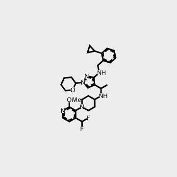 COc1nccc(C(F)F)c1N1CCC(NC(C)c2cn(C3CCCCO3)nc2NCc2ccccc2C2CC2)CC1